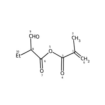 C=C(C)C(=O)OC(=O)C(C=O)CC